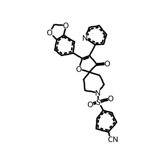 N#Cc1ccc(S(=O)(=O)N2CCC3(CC2)OC(c2ccc4c(c2)OCO4)=C(c2ccccn2)C3=O)cc1